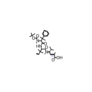 C=CC(C)(C)C(NC(=O)C(N(C)C(=O)OC(C)(C)C)C(C)(C)c1ccccc1)C(=O)N(C)[C@H](/C=C(\C)C(=O)O)C(C)C